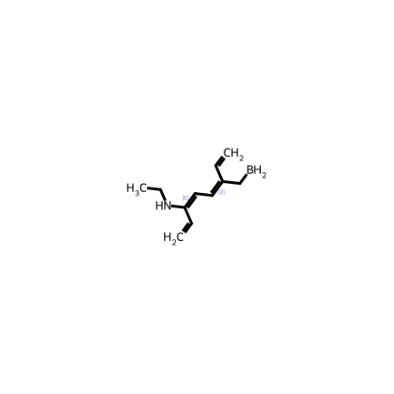 BC/C(C=C)=C/C=C(\C=C)NCC